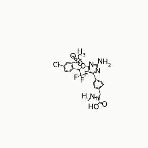 CS(=O)(=O)c1cc(Cl)ccc1C(Oc1cc(-c2ccc(C[C@H](N)C(=O)O)cc2)nc(N)n1)C(F)(F)F